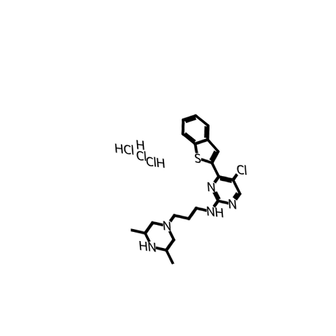 CC1CN(CCCNc2ncc(Cl)c(-c3cc4ccccc4s3)n2)CC(C)N1.Cl.Cl.Cl